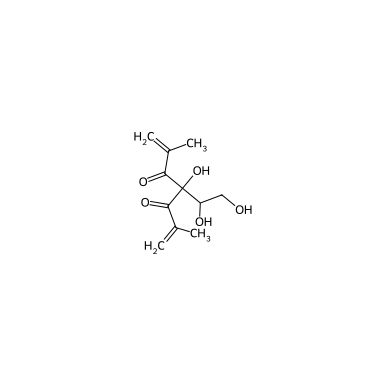 C=C(C)C(=O)C(O)(C(=O)C(=C)C)C(O)CO